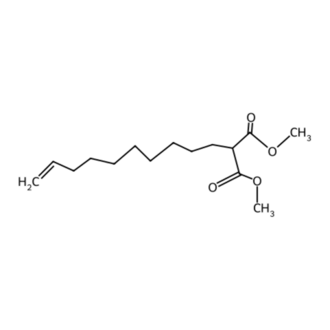 C=CCCCCCCCCC(C(=O)OC)C(=O)OC